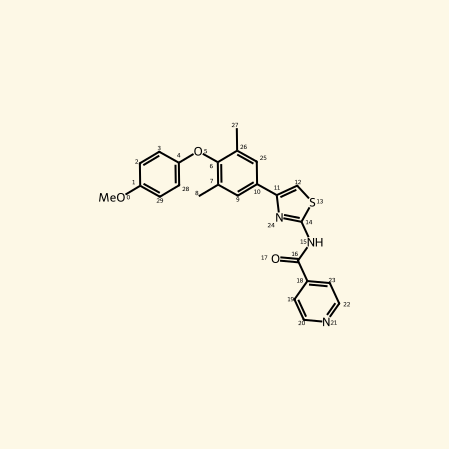 COc1ccc(Oc2c(C)cc(-c3csc(NC(=O)c4ccncc4)n3)cc2C)cc1